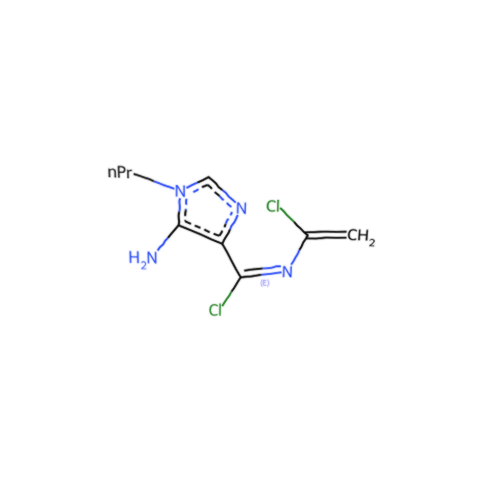 C=C(Cl)/N=C(/Cl)c1ncn(CCC)c1N